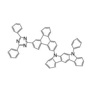 c1ccc(-c2nc(-c3ccccc3)nc(-c3ccc4c(c3)c3ccccc3c3ccc(-n5c6ccccc6c6cc7c8ccccc8n(-c8ccccc8)c7cc65)cc34)n2)cc1